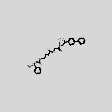 C[C@@H](NC(=O)NCCCC(=O)NCC(=O)NCC(C(=O)O)c1ccc(-c2ccccc2)cc1)c1ccccc1